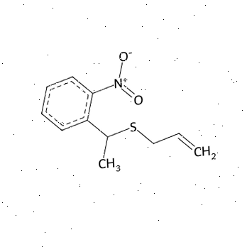 C=CCSC(C)c1ccccc1[N+](=O)[O-]